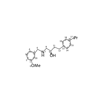 COc1cccc(CNC[C@H](O)[CH]Cc2ccc(C(C)C)cc2)c1